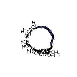 C[C@@H]1C[C@@H](C)/C=C/C=C/C=C/C=C/C=C/C=C/C=C/CCC2O[C@](O)(C[C@@H](O)C[C@@H](O)[C@H](O)CC[C@@H](O)C[C@@H](O)CC(=O)O[C@H]1C)C[C@H](O)[C@H]2C